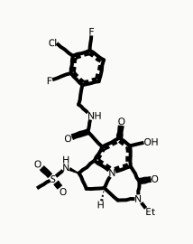 CCN1C[C@H]2C[C@@H](NS(C)(=O)=O)c3c(C(=O)NCc4ccc(F)c(Cl)c4F)c(=O)c(O)c(n32)C1=O